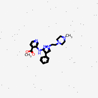 COC(=O)c1ccncc1Nc1nn(CCN2CCN(C)CC2)cc1-c1ccccc1